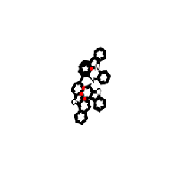 c1ccc(N(c2ccccc2-n2c3ccccc3c3ccccc32)c2cccc3c2oc2ccccc23)c(-c2ccc3oc4c5ccccc5ccc4c3c2)c1